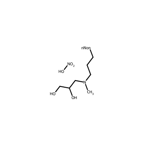 CCCCCCCCCCCCN(C)CC(O)CO.O=[N+]([O-])O